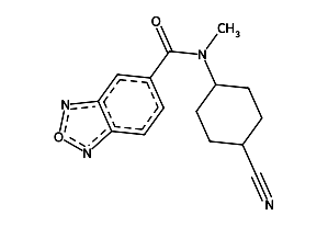 CN(C(=O)c1ccc2nonc2c1)C1CCC(C#N)CC1